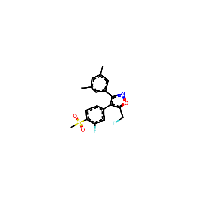 Cc1cc(C)cc(-c2noc(CF)c2-c2ccc(S(C)(=O)=O)c(F)c2)c1